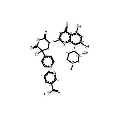 CCC1(c2ccncc2)CCC(=O)NC1=O.Cc1cc(=O)c2c(O)cc(O)c([C@H]3CCN(C)C[C@H]3O)c2o1.NC(=O)c1cccnc1